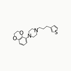 c1cc2c(c(N3CCN(CCCc4ccsc4)CC3)c1)OCCO2